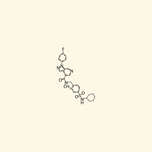 CN(Cc1ccc(S(=O)(=O)NC2CCCCC2)cc1)C(=O)c1cncc2c1cnn2-c1ccc(F)cc1